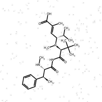 CN[C@H](C(=O)NC(=O)[C@@H](N(C)[C@H](/C=C(\C)C(=O)O)C(C)C)C(C)(C)C)[C@@H](C)c1ccccc1